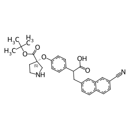 CC(C)(C)OC(=O)[C@]1(Oc2ccc(C(Cc3ccc4ccc(C#N)cc4c3)C(=O)O)cc2)CCNC1